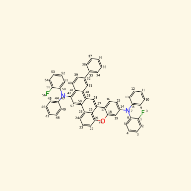 Fc1ccccc1N(c1ccccc1)c1ccc2c(c1)Oc1cccc3c1c-2cc1c2cc(-c4ccccc4)ccc2c(N(c2ccccc2)c2ccccc2F)cc31